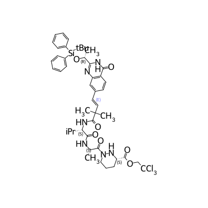 CC(C)[C@H](NC(=O)C(C)(C)/C=C/c1ccc2c(=O)[nH]c([C@@H](C)O[Si](c3ccccc3)(c3ccccc3)C(C)(C)C)nc2c1)C(=O)N[C@@H](C)C(=O)N1CCC[C@@H](C(=O)OCC(Cl)(Cl)Cl)N1